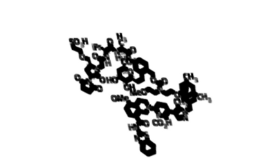 COCCN(CCOC12CC3(C)CC(C)(CC(Cn4ncc(-c5ccc(N6CCc7c(OC)ccc(C(=O)Nc8nc9ccccc9s8)c7C6)nc5C(=O)O)c4C)(C3)C1)C2)C(=O)OCc1ccc(NC(=O)[C@H](C)NC(=O)[C@@H](NC(=O)CN2C(=O)[C@@H](N3C(=O)C=CC3=O)C[C@H]2COCCS(=O)(=O)O)C(C)C)cc1CC[C@@H]1O[C@H](C(=O)O)C[C@H](O)[C@H]1O